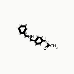 CC(=O)Nc1ccc(CNCc2ccccc2)cc1